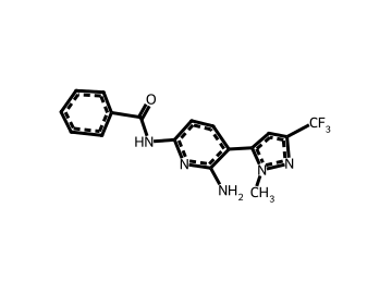 Cn1nc(C(F)(F)F)cc1-c1ccc(NC(=O)c2ccccc2)nc1N